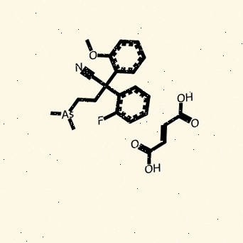 COc1ccccc1C(C#N)(CC[As](C)C)c1ccccc1F.O=C(O)C=CC(=O)O